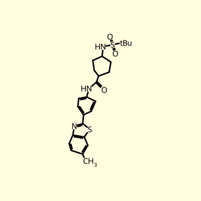 Cc1ccc2nc(-c3ccc(NC(=O)C4CCC(NS(=O)(=O)C(C)(C)C)CC4)cc3)sc2c1